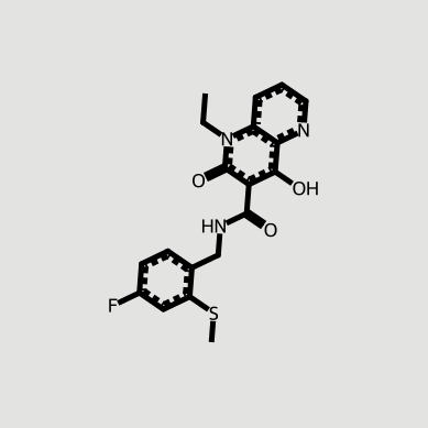 CCn1c(=O)c(C(=O)NCc2ccc(F)cc2SC)c(O)c2ncccc21